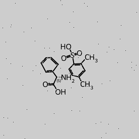 Cc1ccc(S(=O)(=O)O)c(C)c1.N[C@H](C(=O)O)c1ccccc1